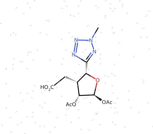 CC(=O)O[C@@H]1O[C@@H](c2nnn(C)n2)[C@@H](CC(=O)O)[C@H]1OC(C)=O